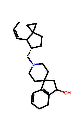 C/C=C\C1[C@@H](CN2CCC3(CC2)CC(O)C2=C3C=CCC2)CCC12CC2